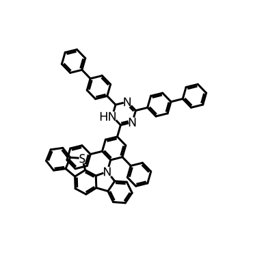 c1ccc(-c2ccc(C3=NC(c4ccc(-c5ccccc5)cc4)NC(c4cc(-c5ccccc5)c(-n5c6ccccc6c6ccc7c8ccccc8sc7c65)c(-c5ccccc5)c4)=N3)cc2)cc1